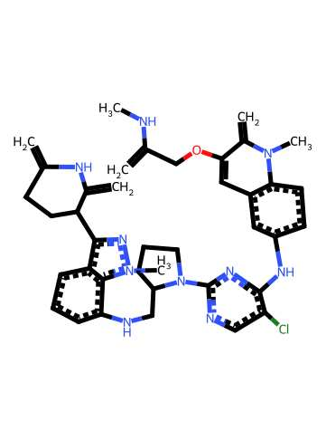 C=C(COC1=Cc2cc(Nc3nc(N4CCCC4CNc4cccc5c(C6CCC(=C)NC6=C)nn(C)c45)ncc3Cl)ccc2N(C)C1=C)NC